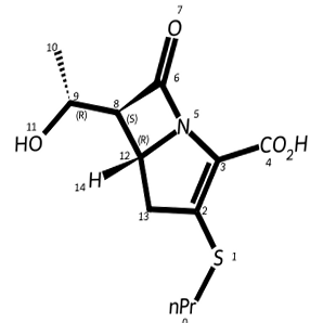 CCCSC1=C(C(=O)O)N2C(=O)[C@H]([C@@H](C)O)[C@H]2C1